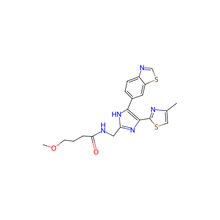 COCCCC(=O)NCc1nc(-c2nc(C)cs2)c(-c2ccc3ncsc3c2)[nH]1